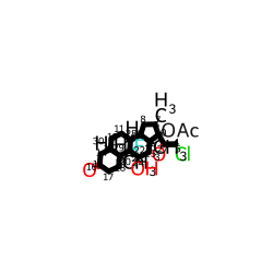 CC(=O)O[C@@]1(C(=O)CCl)[C@@H](C)C[C@H]2[C@@H]3CC[C@@H]4CC(=O)CC[C@]4(C)[C@@]3(F)[C@@H](O)C[C@@]21C